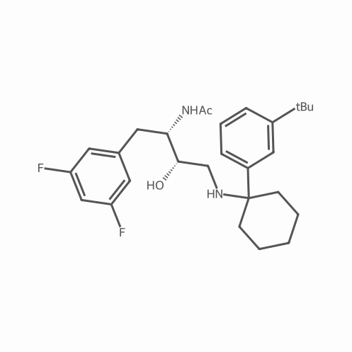 CC(=O)N[C@@H](Cc1cc(F)cc(F)c1)[C@@H](O)CNC1(c2cccc(C(C)(C)C)c2)CCCCC1